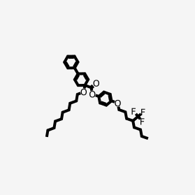 CCCCCCCCCCOC1(C(=O)Oc2ccc(OCCCC(CCCC)C(F)(F)F)cc2)C=CC(c2ccccc2)=CC1